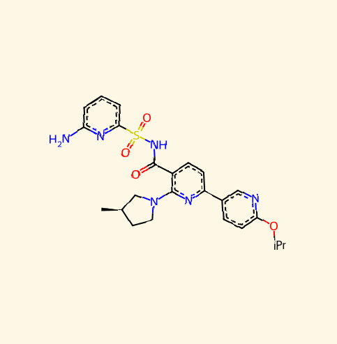 CC(C)Oc1ccc(-c2ccc(C(=O)NS(=O)(=O)c3cccc(N)n3)c(N3CC[C@@H](C)C3)n2)cn1